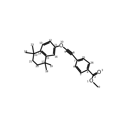 COC(=O)c1ccc(C#COc2ccc3c(c2)C(C)(C)CCC3(C)C)cc1